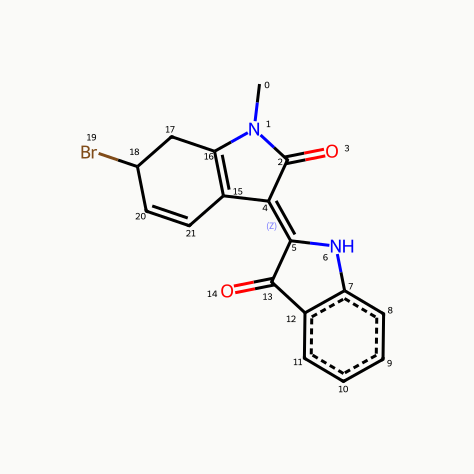 CN1C(=O)/C(=C2\Nc3ccccc3C2=O)C2=C1CC(Br)C=C2